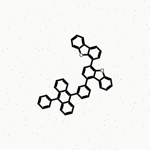 c1ccc(-c2c3ccccc3c(-c3cccc(-c4ccc(-c5cccc6c5oc5ccccc56)c5oc6ccccc6c45)c3)c3ccccc23)cc1